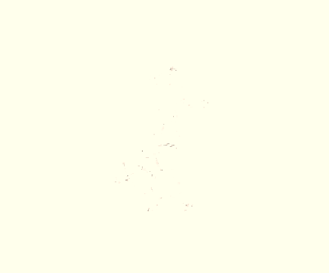 CC(C)COCC1(COCC(C)C)COc2c(-c3ccc(-c4sc(C(C)(C)Cl)c5c4OCC(COCC(C)C)(COCC(C)C)CO5)cc3)sc(C(C)(C)C)c2OC1